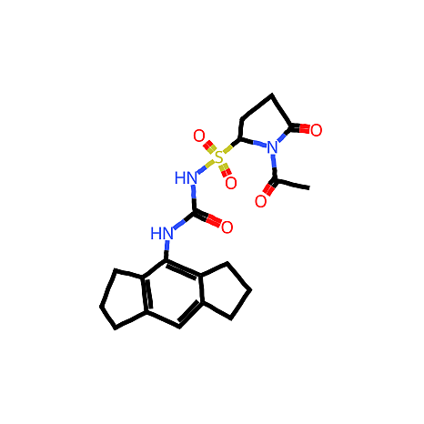 CC(=O)N1C(=O)CCC1S(=O)(=O)NC(=O)Nc1c2c(cc3c1CCC3)CCC2